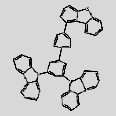 c1ccc2c(c1)sc1cccc(-c3ccc(-c4cc(-n5c6ccccc6c6ccccc65)cc(-n5c6ccccc6c6ccccc65)c4)cc3)c12